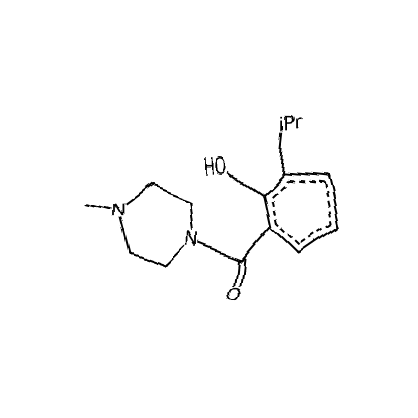 CC(C)c1cccc(C(=O)N2CCN(C)CC2)c1O